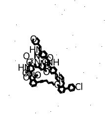 O=C1CCC(N2C(=O)c3cccc(C#CCCCCOc4cccc(-c5ccc(Cl)cc5)c4CN4CCN(c5ccc(C(=O)NS(=O)(=O)c6ccc(NCC7CCOCC7)c([N+](=O)[O-])c6)c(Oc6cnc7[nH]ccc7c6)c5)CC4)c3C2=O)C(=O)N1